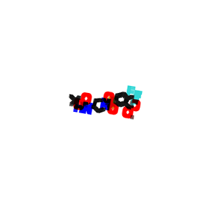 COC(=O)c1cc(S(=O)(=O)N2CCC(NC(=O)OC(C)(C)C)CC2)ccc1C(F)(F)F